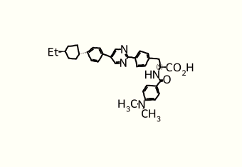 CC[C@H]1CC[C@H](c2ccc(-c3cnc(-c4ccc(C[C@H](NC(=O)c5ccc(N(C)C)cc5)C(=O)O)cc4)nc3)cc2)CC1